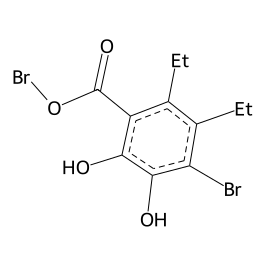 CCc1c(Br)c(O)c(O)c(C(=O)OBr)c1CC